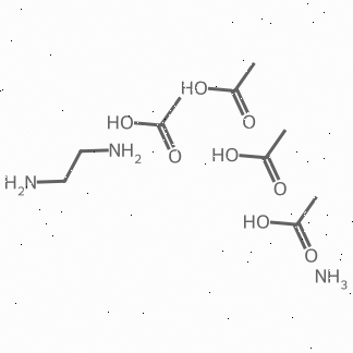 CC(=O)O.CC(=O)O.CC(=O)O.CC(=O)O.N.NCCN